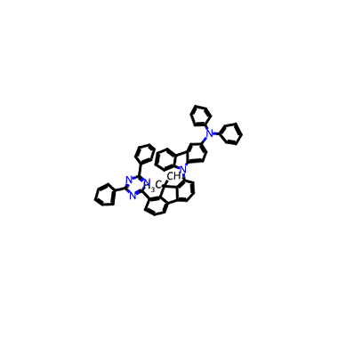 CC1(C)c2c(-c3nc(-c4ccccc4)nc(-c4ccccc4)n3)cccc2-c2cccc(-n3c4ccccc4c4cc(N(c5ccccc5)c5ccccc5)ccc43)c21